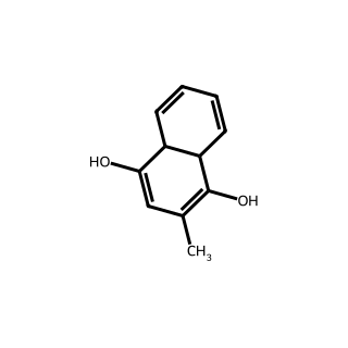 CC1=C(O)C2C=CC=CC2C(O)=C1